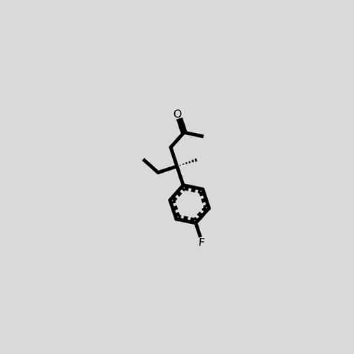 CC[C@@](C)(CC(C)=O)c1ccc(F)cc1